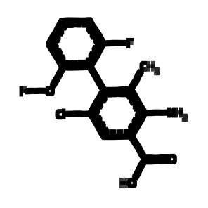 Cc1c(N)c(C(=O)O)cc(Cl)c1-c1c(F)cccc1OF